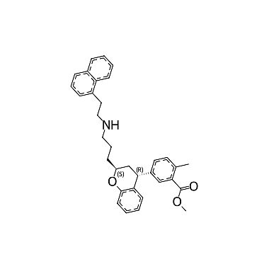 COC(=O)c1cc([C@H]2C[C@H](CCCNCCc3cccc4ccccc34)Oc3ccccc32)ccc1C